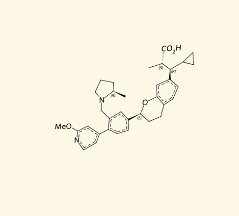 COc1cc(-c2ccc([C@@H]3CCc4ccc([C@H](C5CC5)[C@H](C)C(=O)O)cc4O3)cc2CN2CCC[C@H]2C)ccn1